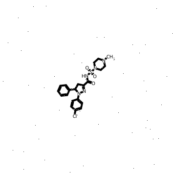 CN1CCN(S(=O)(=O)NC(=O)C2=NN(c3ccc(Cl)cc3)C(c3ccccc3)C2)CC1